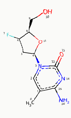 Cc1cn([C@H]2CC(F)[C@@H](CO)O2)c(=O)nc1N